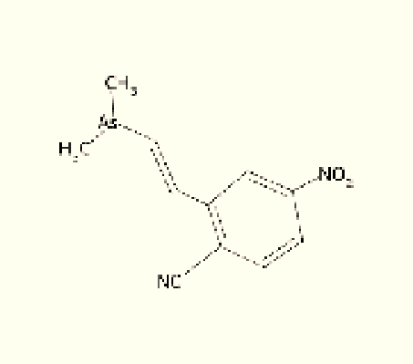 C[As](C)C=Cc1cc([N+](=O)[O-])ccc1C#N